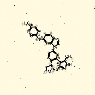 COCC(=O)c1ccc(-n2cnc3ccc(Nc4ccc(C)nn4)cc32)nc1-c1c(C#N)n[nH]c1C